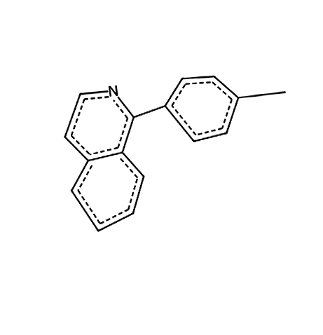 Cc1ccc(-c2nccc3ccccc23)cc1